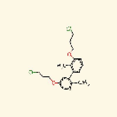 Cc1ccc(OCCCCl)cc1-c1cccc(OCCCCl)c1C